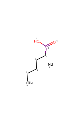 CCCCCCCC[PH](=O)O.[Nd]